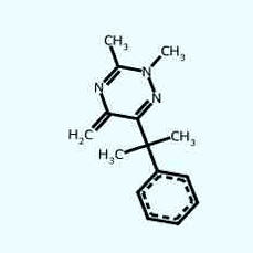 C=C1N=C(C)N(C)N=C1C(C)(C)c1ccccc1